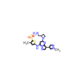 Cc1cc(Nc2cc(N3CCC3CN)nc3c(-c4cnn(C)c4)cnn23)sc1[SH](=O)=O